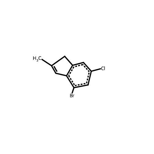 CC1=Cc2c(Br)cc(Cl)cc2C1